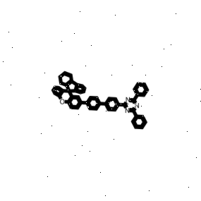 C1=CC2=C(CC1)C1(c3ccccc3Oc3ccc(-c4ccc(-c5ccc(-c6nc(-c7ccccc7)nc(-c7ccccc7)n6)cc5)cc4)cc31)c1ccccc12